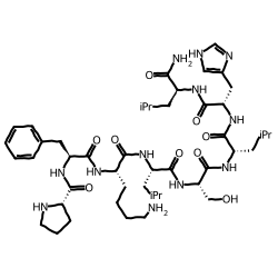 CC(C)C[C@H](NC(=O)[C@H](Cc1c[nH]cn1)NC(=O)[C@H](CC(C)C)NC(=O)[C@H](CO)NC(=O)[C@H](CC(C)C)NC(=O)[C@H](CCCCN)NC(=O)[C@H](Cc1ccccc1)NC(=O)[C@@H]1CCCN1)C(N)=O